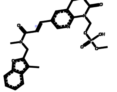 COP(=O)(O)OCN1C(=O)CCc2cc(/C=C/C(=O)N(C)Cc3oc4ccccc4c3C)cnc21